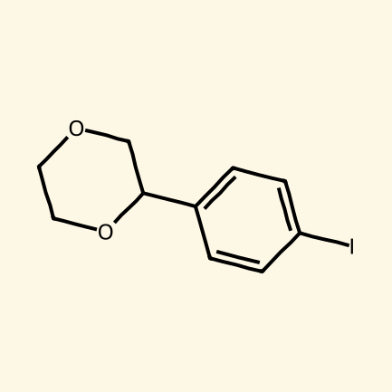 Ic1ccc(C2COCCO2)cc1